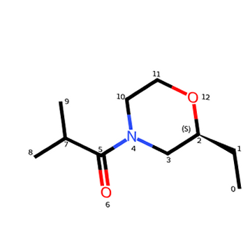 CC[C@H]1CN(C(=O)C(C)C)CCO1